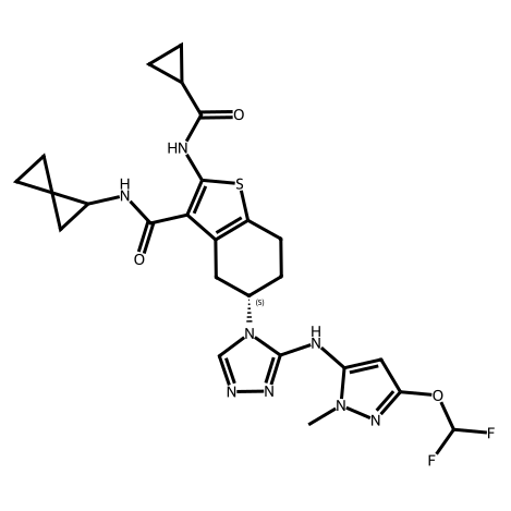 Cn1nc(OC(F)F)cc1Nc1nncn1[C@H]1CCc2sc(NC(=O)C3CC3)c(C(=O)NC3CC34CC4)c2C1